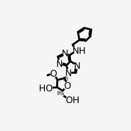 COC1C(O)[C@@H](CO)O[C@H]1n1cnc2c(NCc3ccccc3)ncnc21